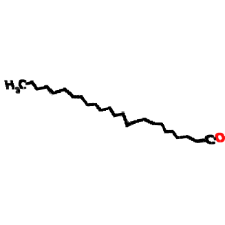 CCCCCCCCCCCCCCCCCCCCCCC=C=O